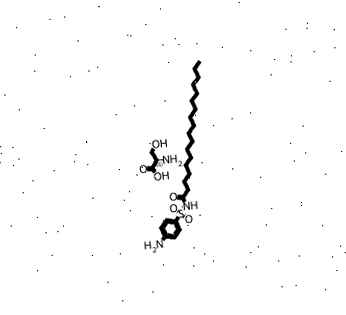 CCCCCCCCCCCCCCCCCC(=O)NS(=O)(=O)c1ccc(N)cc1.N[C@@H](CO)C(=O)O